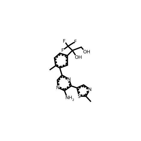 Cc1ncc(-c2nc(-c3cc(C(O)(CO)C(F)(F)F)ccc3C)cnc2N)s1